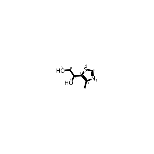 Cc1ncsc1C(O)CO